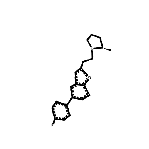 C[C@@H]1CCCN1CCc1cc2cc(-c3ccc(F)cc3)ccc2o1